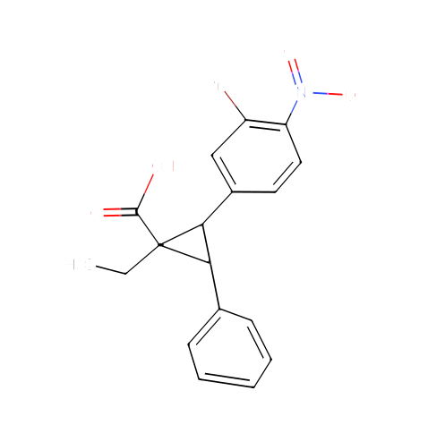 CCC1(C(=O)O)C(c2ccccc2)C1c1ccc([N+](=O)[O-])c(Br)c1